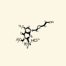 CCn1c(N)nc2c(c1=O)N(C)CN2COCCO.Cl